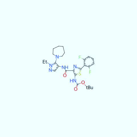 CCn1ncc(NC(=O)c2nc(-c3c(F)cccc3F)sc2NC(=O)OC(C)(C)C)c1N1CCCCCC1